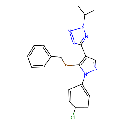 CC(C)n1nnc(-c2cnn(-c3ccc(Cl)cc3)c2SCc2ccccc2)n1